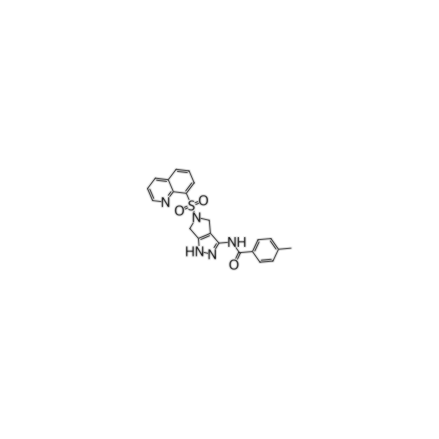 Cc1ccc(C(=O)Nc2n[nH]c3c2CN(S(=O)(=O)c2cccc4cccnc24)C3)cc1